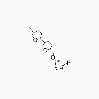 Cc1ccc(OCC2CCC(C3CCC(C)CO3)CO2)cc1F